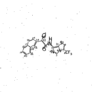 O=C(Nc1ncn2c(C(F)(F)F)csc12)C(Cl)c1ccc2ccccc2c1